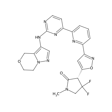 CN1CC(F)(F)[C@@H](c2cc(-c3cccc(-c4ccnc(Nc5cnn6c5COCC6)n4)n3)no2)C1=O